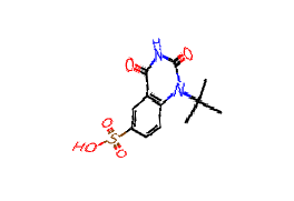 CC(C)(C)n1c(=O)[nH]c(=O)c2cc(S(=O)(=O)O)ccc21